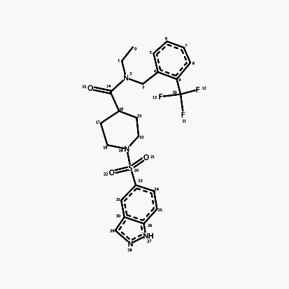 CCN(Cc1ccccc1C(F)(F)F)C(=O)C1CCN(S(=O)(=O)c2ccc3[nH]ncc3c2)CC1